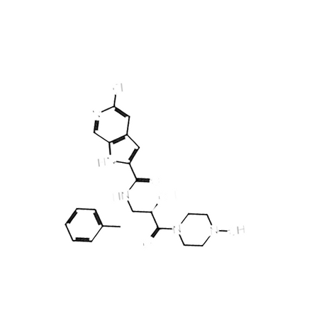 CN1CCN(C(=O)[C@H](O)[C@H](Cc2ccccc2)NC(=O)c2cc3cc(Cl)ncc3[nH]2)CC1